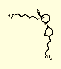 CCCCCCC[C@]1(C#N)CCC[C@@H](C2CCC(CCCCC)CC2)C1